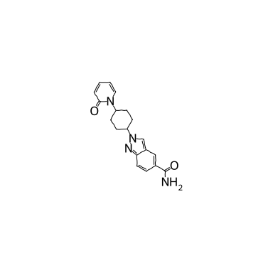 NC(=O)c1ccc2nn(C3CCC(n4ccccc4=O)CC3)cc2c1